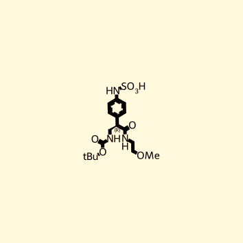 COCCNC(=O)[C@@H](CNC(=O)OC(C)(C)C)c1ccc(NS(=O)(=O)O)cc1